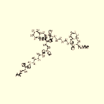 CNC(Cc1ccccc1)C(=O)OCCCCCCOC(=O)C(Cc1ccccc1)NC(=O)C=CC(=O)OCCCCCCOC(=O)C=CC(C)=O